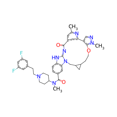 Cc1cc2cc(n1)-c1cnn(C)c1OCCC1CC1CN1/C(=N/C2=O)Nc2ccc(C(=O)N(C)C3CCN(CCc4cc(F)cc(F)c4)CC3)cc21